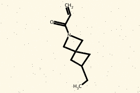 C=CC(=O)N1CC2(CC(CC)C2)C1